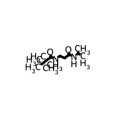 CC(C)NC(=O)CCNC(=O)C(C)(C)C(C)(C)C